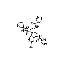 CC(C)CNS(=O)(=O)c1cc2c(c3cnc(C4CC4)cc13)[C@H](NS(=O)(=O)c1cccnc1)C[C@H]2NC(=O)c1cccnc1